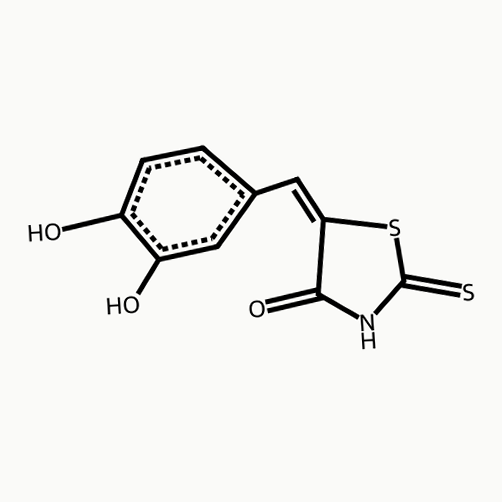 O=C1NC(=S)S/C1=C/c1ccc(O)c(O)c1